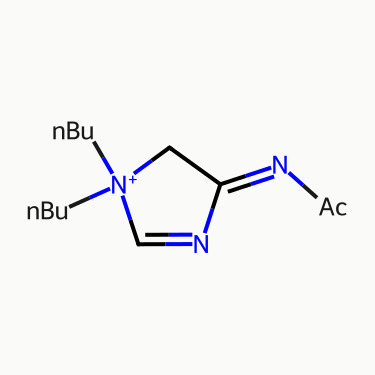 CCCC[N+]1(CCCC)C=NC(=NC(C)=O)C1